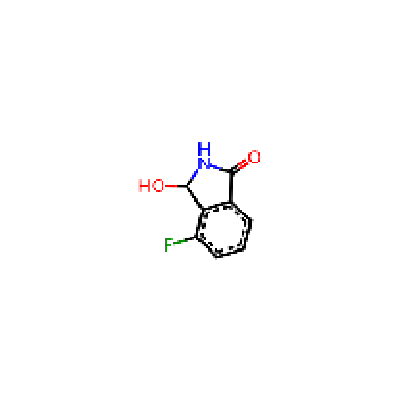 O=C1NC(O)c2c(F)cccc21